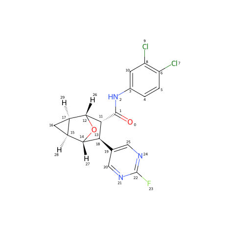 O=C(Nc1ccc(Cl)c(Cl)c1)[C@H]1[C@@H]2O[C@@H]([C@H]3C[C@H]32)[C@@H]1c1cnc(F)nc1